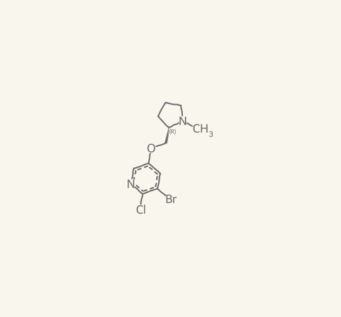 CN1CCC[C@@H]1COc1cnc(Cl)c(Br)c1